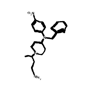 CC(CCN)N1CCC(N(Cc2ccccc2)c2ccc([N+](=O)[O-])cc2)CC1